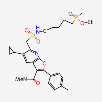 CCOP(C)(=O)CCCCCNS(=O)(=O)Cc1nc2oc(-c3ccc(C)cc3)c(C(=O)NC)c2cc1C1CC1